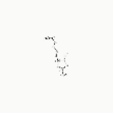 CCCCCCCCCCCCN1C=[N+](CCC)CC1.[I-]